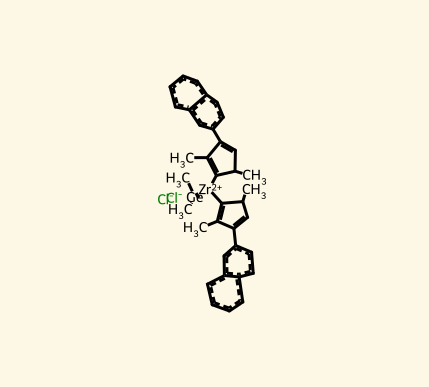 CC1=[C]([Zr+2]([C]2=C(C)C(c3ccc4ccccc4c3)=CC2C)=[Ge]([CH3])[CH3])C(C)C=C1c1ccc2ccccc2c1.[Cl-].[Cl-]